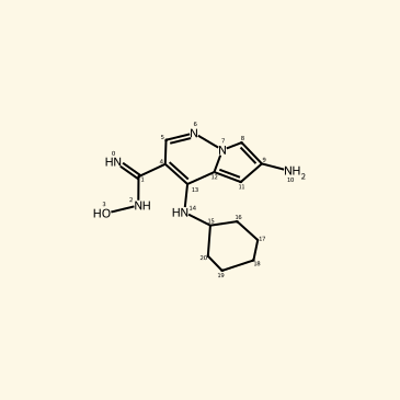 N=C(NO)c1cnn2cc(N)cc2c1NC1CCCCC1